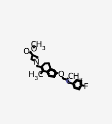 COC(=O)C1CN(CC2=C(C)c3ccc(OC/C(C)=C/c4ccc(F)cc4)cc3CC2)C1